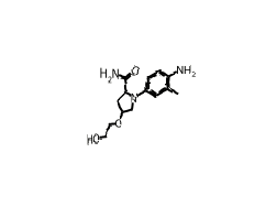 Cc1cc(N2CC(OCCO)CC2C(N)=O)ccc1N